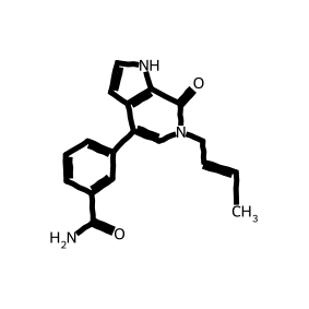 C/C=C/Cn1cc(-c2cccc(C(N)=O)c2)c2cc[nH]c2c1=O